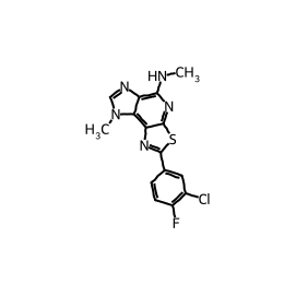 CNc1nc2sc(-c3ccc(F)c(Cl)c3)nc2c2c1ncn2C